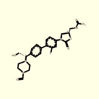 CC(=O)NC[C@@H]1CN(c2ccc(-c3ccc([C@@H](CO)N4CCN(C=O)CC4)cc3)c(F)c2)C(=O)O1